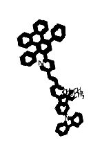 C/C=C(\C=C/C1=CC(CC)(CC)c2cc(-n3c4ccccc4c4ccccc43)ccc21)/C=C/c1ccc(-c2cc(-c3ccccc3)c3c4ccccc4c4ccccc4c3c2-c2ccccc2)nc1